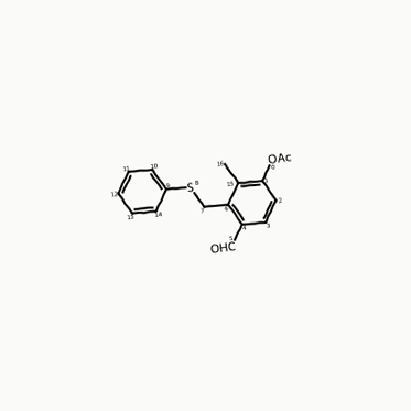 CC(=O)Oc1ccc(C=O)c(CSc2ccccc2)c1C